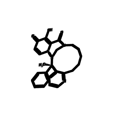 C[C@@]1(c2ccccc2)c2cccnc2CCCCCN2CN1n1ccc(=O)c(O)c1C2=O